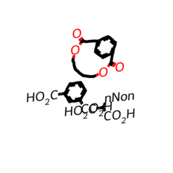 CCCCCCCCCC(C(=O)O)C(=O)O.O=C(O)c1cccc(C(=O)O)c1.O=C1OCCCCOC(=O)c2ccc1cc2